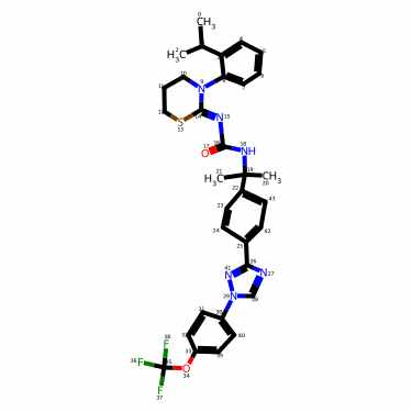 CC(C)c1ccccc1N1CCCS/C1=N\C(=O)NC(C)(C)c1ccc(-c2ncn(-c3ccc(OC(F)(F)F)cc3)n2)cc1